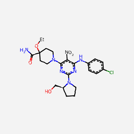 CCOC1(C(N)=O)CCN(c2nc(N3CCC[C@H]3CO)nc(Nc3ccc(Cl)cc3)c2[N+](=O)[O-])CC1